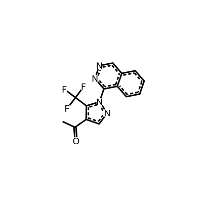 CC(=O)c1cnn(-c2nncc3ccccc23)c1C(F)(F)F